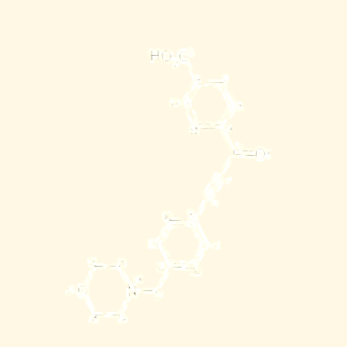 O=C(O)c1ccc(C(=O)C#Cc2ccc(CN3CCOCC3)cc2)cc1